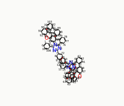 c1ccc(-c2nc(-c3ccc(-c4cccc(-c5cccc6c5-c5ccccc5C65c6ccccc6Oc6ccc(-c7ccccc7-c7nc(-c8ccccc8)nc(-c8ccc9ccccc9c8)n7)cc65)c4)cc3)nc(-c3ccccc3-c3ccc4c(c3)C3(c5ccccc5O4)c4ccccc4-c4ccccc43)n2)cc1